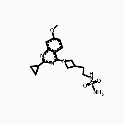 COc1ccc2c(N3CC(CCNS(N)(=O)=O)C3)nc(C3CC3)nc2c1